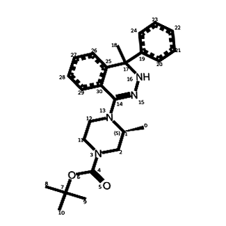 C[C@H]1CN(C(=O)OC(C)(C)C)CCN1C1=NNC(C)(c2ccccc2)c2ccccc21